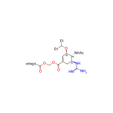 CCCCCCCC(=O)OCOC(=O)C1=C[C@@H](OC(CC)CC)[C@H](NC(C)=O)[C@@H](NC(=N)N)C1